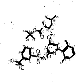 Cc1cccc(C)c1-c1cc(OC[C@@H](CC(C)C)N(C)C(=O)OC(C)(C)C)nc(NS(=O)(=O)c2cccc(C(=O)O)c2)n1